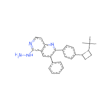 CC(C)(C)C1CC[C]1c1ccc(-c2nc3ccnc(NN)c3cc2-c2ccccc2)cc1